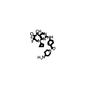 CN1C(=O)C(F)(F)CN(C2=CC=C2)c2nc(Nc3ccc(C(=O)N4CCC(N)CC4)cc3)ncc21